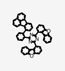 c1ccc(-c2cccc3c2-c2cccc4cccc-3c24)c(-c2nc(-c3cccc4oc5ccccc5c34)nc(-c3cccc4oc5ccccc5c34)n2)c1